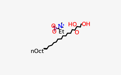 CCC(P(=O)=O)[N+](C)(C)C.CCCCCCCCC=CCCCCCCCCCCCC(=O)C(O)CCO